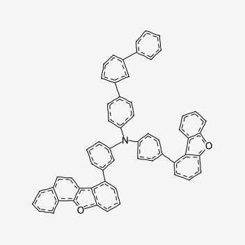 c1ccc(-c2cccc(-c3ccc(N(c4ccc(-c5cccc6oc7ccccc7c56)cc4)c4cccc(-c5cccc6oc7c8ccccc8ccc7c56)c4)cc3)c2)cc1